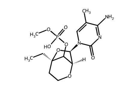 CC[C@@]12CCO[C@@H](C1OP(=O)(O)OC)[C@H](n1cc(C)c(N)nc1=O)O2